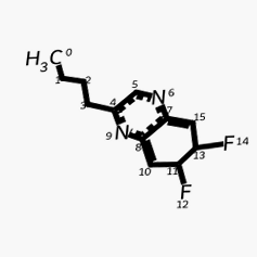 CCCCc1cnc2c(n1)=CC(F)C(F)C=2